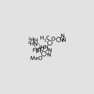 [2H]C([2H])([2H])N1CC[C@@]([2H])(Oc2cc(OC)cc3ncnc(Nc4ccc(Oc5ccn6ncnc6c5)c(C)c4)c23)C(F)(F)C1